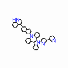 C1=NC=C(c2ccc(-n3c4c(c5ccccc53)-c3ccccc3N(c3ccc5cc(C6=CCNc7ccccc76)ccc5c3)c3ccccc3-4)nc2)CC1